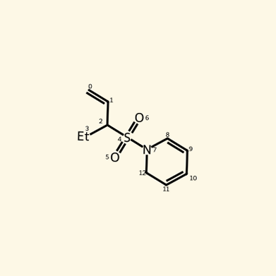 C=CC(CC)S(=O)(=O)N1C=CC=CC1